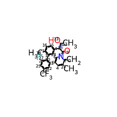 C=C1C(C)=CC=CN1C(=O)/C(=C(\C)O)c1ccc(C)c(-c2ccc(C(F)(F)F)cc2F)c1